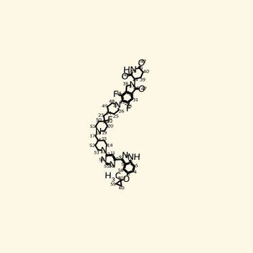 CC1(Oc2ccc3[nH]nc(-c4cc(N5CCC(CN6CCC(F)(CC7CCN(c8c(F)cc9c(c8F)CN(C8CCC(=O)NC8=O)C9=O)CC7)CC6)CC5)ncn4)c3c2)CC1